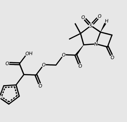 CC1(C)[C@H](C(=O)OCOC(=O)C(C(=O)O)c2ccsc2)N2C(=O)C[C@H]2S1(=O)=O